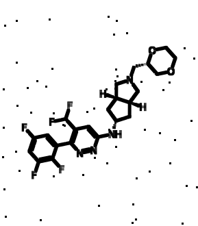 Fc1cc(F)c(F)c(-c2nnc(N[C@@H]3C[C@@H]4CN(C[C@H]5COCCO5)C[C@@H]4C3)cc2C(F)F)c1